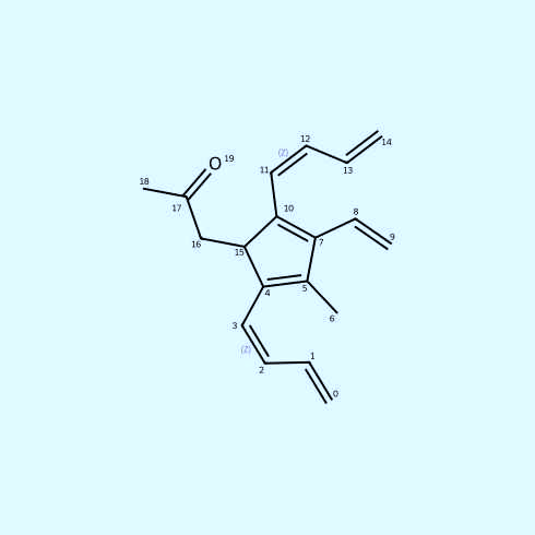 C=C/C=C\C1=C(C)C(C=C)=C(/C=C\C=C)C1CC(C)=O